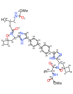 COC(=O)NCC(C)CC(=O)N1OC2(CCC2)CC1c1ncc(-c2ccc(-c3ccc(-c4cnc(C5CC6(CCC6)ON5C(=O)C(NC(=O)OC)C(C)C)[nH]4)cc3)cc2)[nH]1